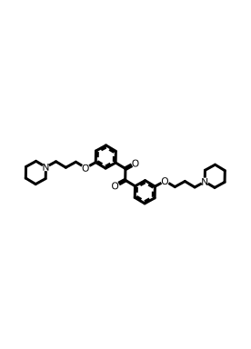 O=C(C(=O)c1cccc(OCCCN2CCCCC2)c1)c1cccc(OCCCN2CCCCC2)c1